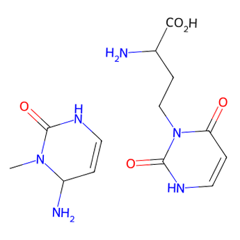 CN1C(=O)NC=CC1N.NC(CCn1c(=O)cc[nH]c1=O)C(=O)O